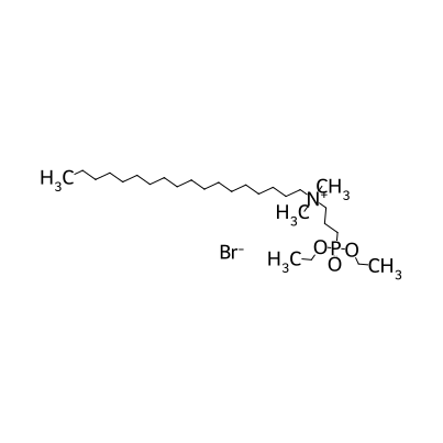 CCCCCCCCCCCCCCCCCC[N+](C)(C)CCCP(=O)(OCC)OCC.[Br-]